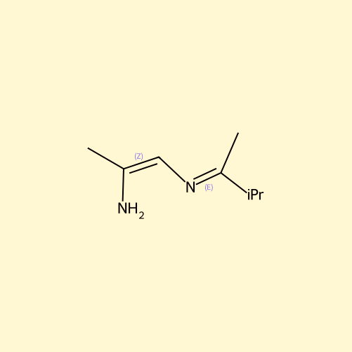 C/C(N)=C/N=C(\C)C(C)C